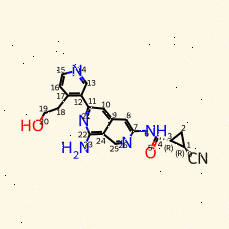 N#C[C@@H]1C[C@H]1C(=O)Nc1cc2cc(-c3cnccc3CCO)nc(N)c2cn1